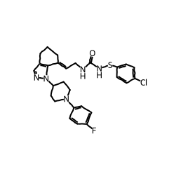 O=C(NC/C=C1\CCCc2cnn(C3CCN(c4ccc(F)cc4)CC3)c21)NSc1ccc(Cl)cc1